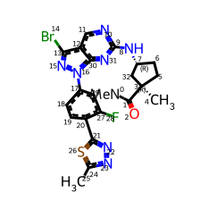 CNC(=O)[C@]1(C)CC[C@@H](Nc2ncc3c(Br)nn(-c4ccc(-c5nnc(C)s5)c(F)c4)c3n2)C1